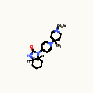 CCOC(=O)N1CCC(C)(N2CCC(N3C(=O)N[C@H]4CCCC[C@H]43)CC2)CC1